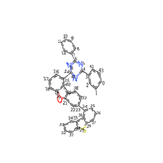 c1ccc(-c2nc(-c3ccccc3)nc(-c3cccc4oc5cc(-c6cccc7sc8ccccc8c67)ccc5c34)n2)cc1